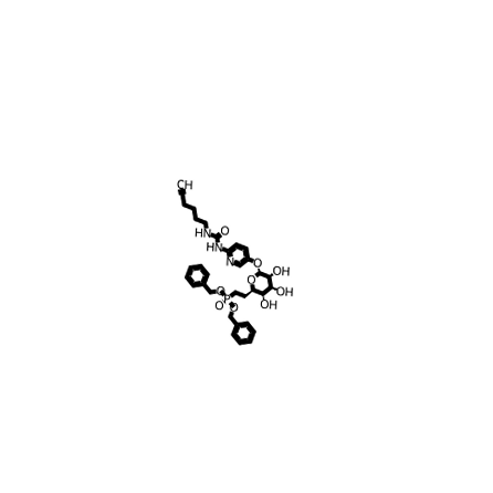 C#CCCCCNC(=O)Nc1ccc(O[C@H]2O[C@H](CCP(=O)(OCc3ccccc3)OCc3ccccc3)[C@@H](O)[C@H](O)[C@@H]2O)cn1